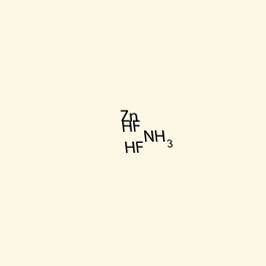 F.F.N.[Zn]